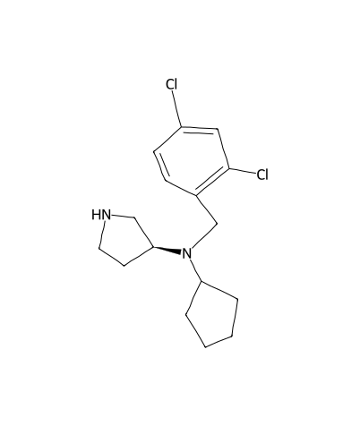 Clc1ccc(CN(C2CCCC2)[C@H]2CCNC2)c(Cl)c1